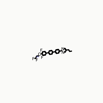 CCCc1cnc(-c2ccc(-c3ccc(-c4cc(F)c(O/C=C/C(F)F)c(F)c4)cc3)cc2)nc1